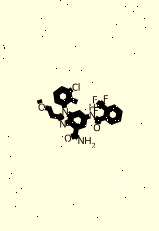 COCCc1nc2c(C(N)=O)cc(NC(=O)c3ccccc3C(F)(F)F)cc2n1-c1cccc(Cl)c1C